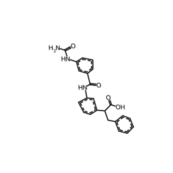 NC(=O)Nc1cccc(C(=O)Nc2cccc(C(Cc3ccccc3)C(=O)O)c2)c1